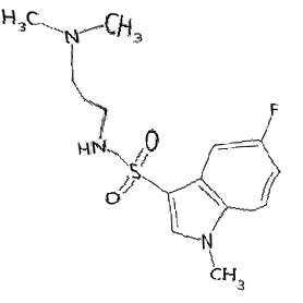 CN(C)CCNS(=O)(=O)c1cn(C)c2ccc(F)cc12